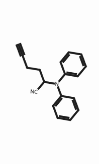 C#CCCC(C#N)N(c1ccccc1)c1ccccc1